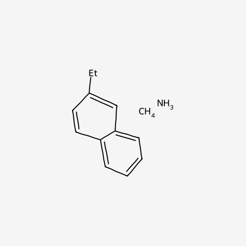 C.CCc1ccc2ccccc2c1.N